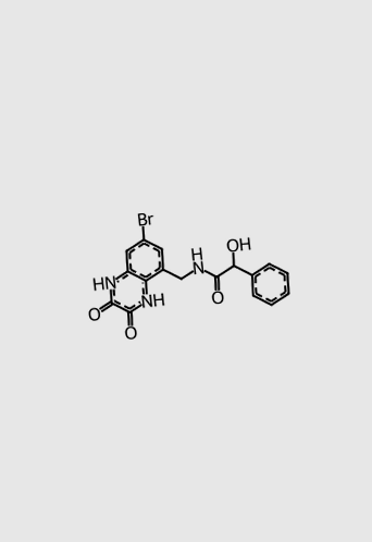 O=C(NCc1cc(Br)cc2[nH]c(=O)c(=O)[nH]c12)C(O)c1ccccc1